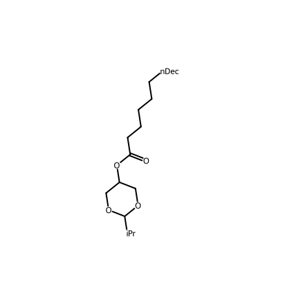 CCCCCCCCCCCCCCCC(=O)OC1COC(C(C)C)OC1